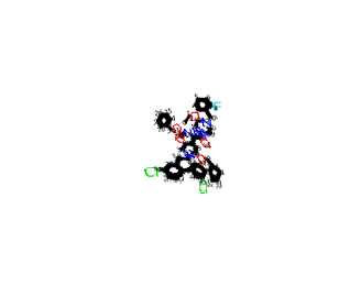 CCOc1cccc(F)c1CN1CCN(C(=O)[C@H](NC(=O)OCc2ccccc2)C2CCN(CCc3cc(Cl)ccc3-c3cc(Cl)cc(OCc4ccccc4)c3)CC2)CC1